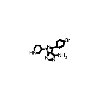 Nc1ncnc2c1c(-c1ccc(Br)cc1)nn2C1CCCNC1